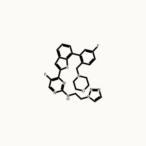 Fc1ccc(CN2CCOCC2)c(-c2cccc3cc(-c4nc(NCCn5ccnn5)ncc4F)sc23)c1